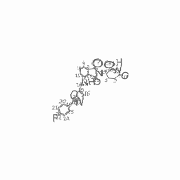 O=C1CCC(N2C(=O)c3cccc(NCc4cnc(-c5ccc(F)cc5)o4)c3C2=O)C(=O)N1